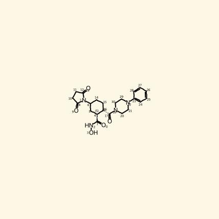 O=C(NO)[C@H]1CC(N2C(=O)CCC2=O)CC[C@@H]1C(=O)N1CCN(c2ccccc2)CC1